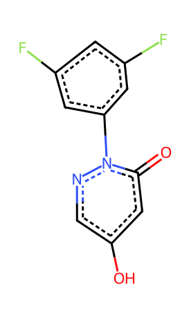 O=c1cc(O)cnn1-c1cc(F)cc(F)c1